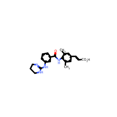 Cc1cc(/C=C/C(=O)O)cc(C)c1NC(=O)c1cccc(NC2=NCCCN2)c1